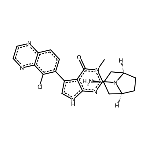 Cn1c(N2[C@@H]3CC[C@H]2C[C@@H](N)C3)nc2[nH]cc(-c3ccc4nccnc4c3Cl)c2c1=O